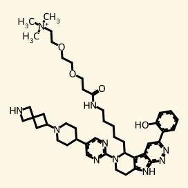 C[N+](C)(C)CCOCCOCCC(=O)NCCCCCC1c2c([nH]c3nnc(-c4ccccc4O)cc23)CCN1c1ncc(C2CCN(C3CC4(CNC4)C3)CC2)cn1